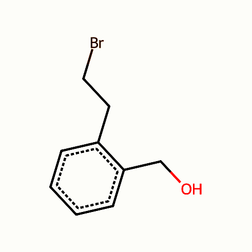 OCc1ccccc1CCBr